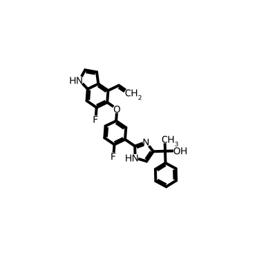 C=Cc1c(Oc2ccc(F)c(-c3nc(C(C)(O)c4ccccc4)c[nH]3)c2)c(F)cc2[nH]ccc12